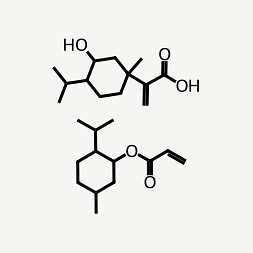 C=C(C(=O)O)C1(C)CCC(C(C)C)C(O)C1.C=CC(=O)OC1CC(C)CCC1C(C)C